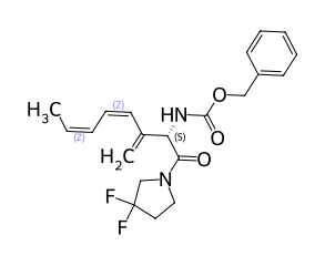 C=C(/C=C\C=C/C)[C@H](NC(=O)OCc1ccccc1)C(=O)N1CCC(F)(F)C1